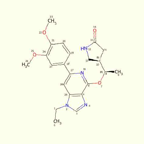 CCn1cnc2c(O[C@H](C)[C@H]3CNC(=O)C3)nc(-c3ccc(OC)c(OC)c3)cc21